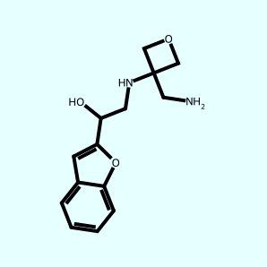 NCC1(NCC(O)c2cc3ccccc3o2)COC1